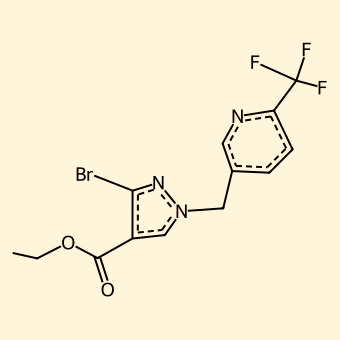 CCOC(=O)c1cn(Cc2ccc(C(F)(F)F)nc2)nc1Br